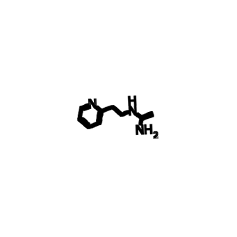 C=C(N)NCCc1ccccn1